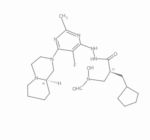 Cc1nc(NNC(=O)[C@@H](CC2CCCC2)CN(O)C=O)c(F)c(N2CCN3CCCC[C@@H]3C2)n1